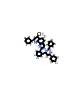 Cc1cc(-c2ccccc2)nc2c1ccc1ccc(-c3ccccc3-c3cc(-c4ccccc4)nc(-c4ccccc4)n3)nc12